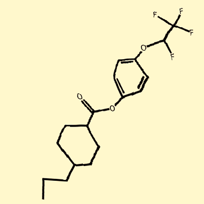 CCCC1CCC(C(=O)Oc2ccc(OC(F)C(F)(F)F)cc2)CC1